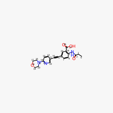 CCC(=O)Nc1ccc(C#Cc2ccc(N3CCOCC3)nc2)cc1C(=O)O